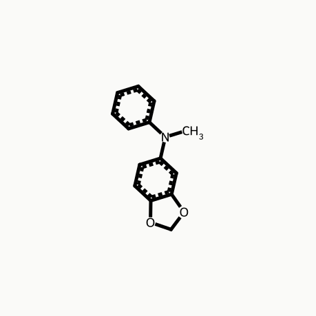 CN(c1ccccc1)c1ccc2c(c1)OCO2